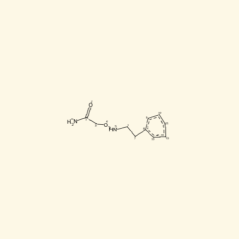 NC(=O)CONCCc1ccccc1